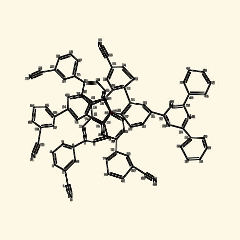 N#Cc1cccc(-c2ccc3c(c2)c2cc(-c4cccc(C#N)c4)ccc2n3-c2ccc(-c3nc(-c4ccccc4)nc(-c4ccccc4)n3)cc2-c2ccc(C#N)cc2-n2c3ccc(-c4cccc(C#N)c4)cc3c3cc(-c4cccc(C#N)c4)ccc32)c1